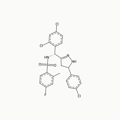 Cc1cc(F)ccc1S(=O)(=O)N[C@@H](C1=NNC(c2ccc(Cl)cc2)C1)c1ccc(Cl)cc1Cl